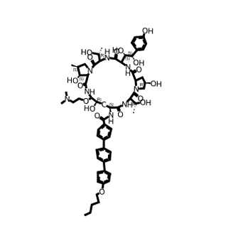 CCCCCOc1ccc(-c2ccc(-c3ccc(C(=O)N[C@H]4C[C@@H](O)C(OCCN(C)C)NC(=O)C5[C@@H](O)[C@@H](C)CN5C(=O)C([C@@H](C)O)NC(=O)C([C@H](O)[C@@H](O)c5ccc(O)cc5)NC(=O)C5C[C@@H](O)CN5C(=O)C([C@@H](C)O)NC4=O)cc3)cc2)cc1